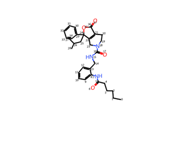 CCCCCC(=O)Nc1ccccc1CNC(=O)N1CCC2=C(C1)C(CC(C)C)(c1ccccc1)OC2=O